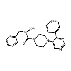 CN(Cc1ccccc1)C(=O)N1CCN(c2cncnc2-c2ccccc2)CC1